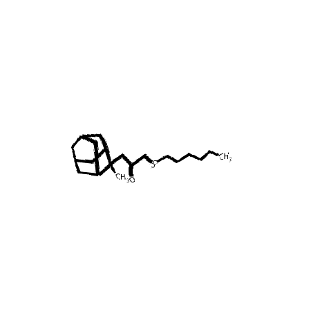 CCCCCCSCC(=O)CC1(C)C2CC3CC(C2)CC1C3